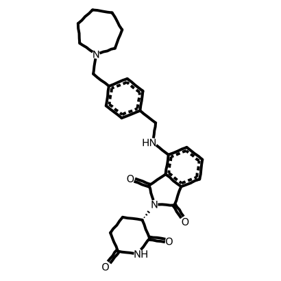 O=C1CC[C@H](N2C(=O)c3cccc(NCc4ccc(CN5CCCCCC5)cc4)c3C2=O)C(=O)N1